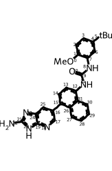 COc1ccc(C(C)(C)C)cc1NC(=O)Nc1ccc(-c2cnc3[nH]c(N)nc3c2)c2ccccc12